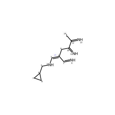 N=C/C(=C\NCC1CC1)CC(=N)C(=N)I